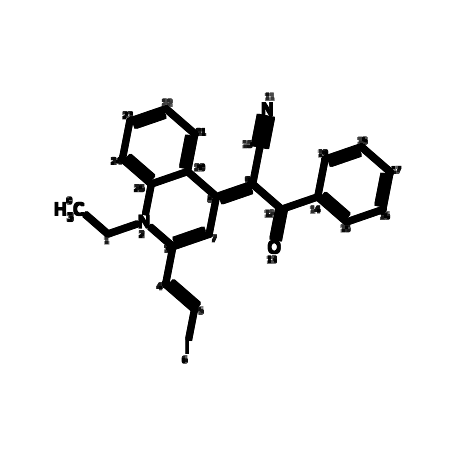 CCN1C(/C=C/I)=CC(=C(/C#N)C(=O)c2ccccc2)/c2ccccc21